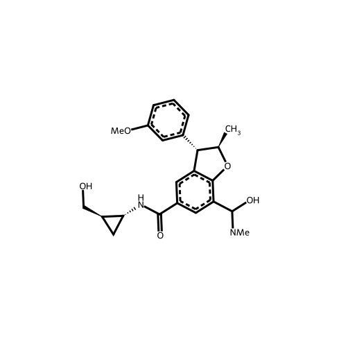 CNC(O)c1cc(C(=O)N[C@@H]2C[C@H]2CO)cc2c1O[C@H](C)[C@H]2c1cccc(OC)c1